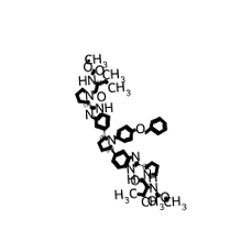 COC(=O)N[C@H](C(=O)N1CCC[C@H]1c1nc2cc([C@H]3CC[C@H](c4ccc5[nH]c([C@@H]6CCCN6C(=O)[C@@H](NC(=O)OC)C(C)C)nc5c4)N3c3ccc(OCc4ccccc4)cc3)ccc2[nH]1)C(C)C